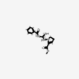 COC(=O)c1cccn1NC(S)NC(=O)c1ccccc1